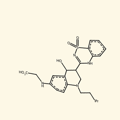 CC(C)CCN1CC(C2=NS(=O)(=O)c3ccccc3N2)C(O)c2cc(NCC(=O)O)ccc21